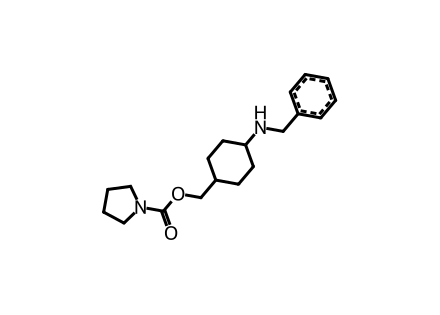 O=C(OCC1CCC(NCc2ccccc2)CC1)N1CCCC1